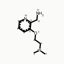 CN(C)CCOc1cccnc1CN